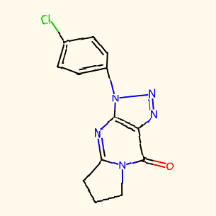 O=c1c2nnn(-c3ccc(Cl)cc3)c2nc2n1CCC2